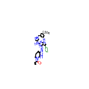 C=CC(=O)N1CCC[C@@H](Nc2nc(Nc3cnn(Cc4cccc(OC)c4)c3)nc3[nH]cc(Cl)c23)C1